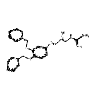 N=C(N)NC[C@@H](O)COc1ccc(OCc2ccccc2)c(OCc2ccccc2)c1